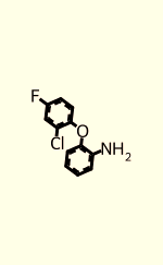 Nc1ccccc1Oc1ccc(F)cc1Cl